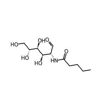 CCCCC(=O)N[C@@H](C=O)[C@@H](O)[C@H](O)[C@H](O)CO